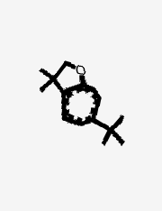 CC(C)(C)c1ccc2c(c1)OCC2(C)C